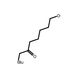 CC(C)(C)CC(=O)CCCCC[O]